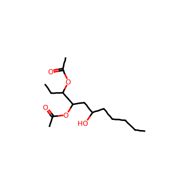 CCCCCC(O)CC(OC(C)=O)C(CC)OC(C)=O